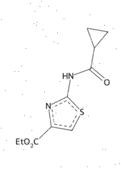 CCOC(=O)c1csc(NC(=O)C2CC2)n1